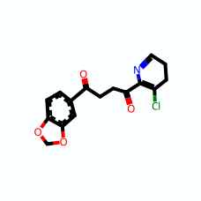 O=C(CCC(=O)c1ccc2c(c1)OCO2)C1=C(Cl)CCC=N1